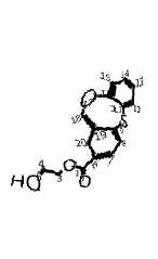 O=C(OCCO)C1=CC=C2Sc3ccccc3OC=C2C1